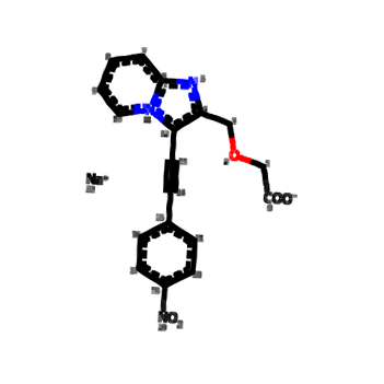 O=C([O-])COCc1nc2ccccn2c1C#Cc1ccc([N+](=O)[O-])cc1.[Na+]